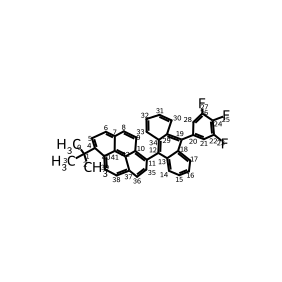 CC(C)(C)c1ccc2ccc3c(-c4c5ccccc5c(-c5cc(F)c(F)c(F)c5)c5ccccc45)ccc4ccc1c2c43